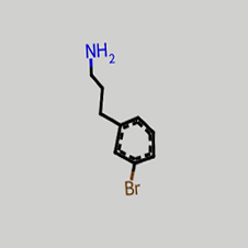 NCCCc1cccc(Br)c1